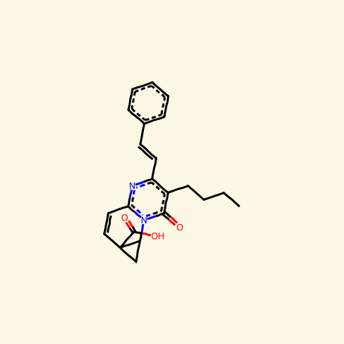 CCCCc1c(/C=C/c2ccccc2)nc2n(c1=O)C1CC1(C(=O)O)C=C2